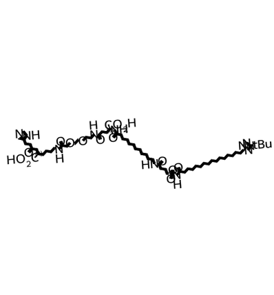 CC(C)(C)n1nnc(CCCCCCCCCCCCCCCC(=O)NS(=O)(=O)CCCC(=O)NCCCCCCCCCCCC(=O)N[C@@H](CCC(=O)NCCOCCOCC(=O)NCCCC[C@H](CC(=O)CCc2cnc[nH]2)C(=O)O)C(=O)O)n1